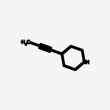 [CH2]C#CC1CCNCC1